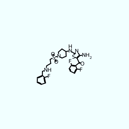 Nc1nc(NC2CCN(S(=O)(=O)CCCNCc3ccccc3F)CC2)sc1C(=O)c1c(F)cccc1F